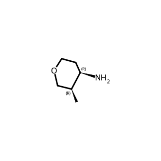 C[C@H]1COCC[C@H]1N